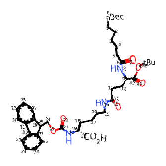 CCCCCCCCCCCCCCCC(=O)N[C@H](CCC(=O)NCCCC[C@@H](NC(=O)OCC1c2ccccc2-c2ccccc21)C(=O)O)C(=O)OC(C)(C)C